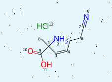 CC(N)(/C=C\CCC#N)C(=O)O.Cl